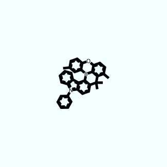 Cc1ccc2c(c1)B1c3c(ccc(C)c3C(C)(C)c3ccc4c(c31)c1ccccc1n4-c1ccccc1)O2